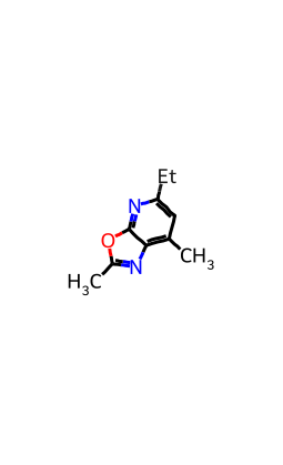 CCc1cc(C)c2nc(C)oc2n1